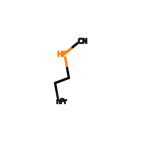 CCCCCPC#N